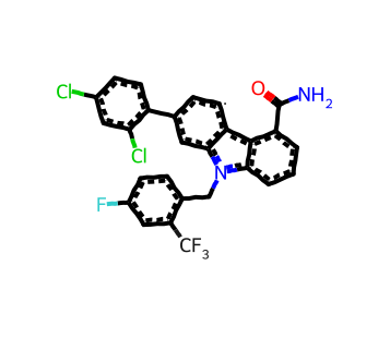 NC(=O)c1cccc2c1c1[c]cc(-c3ccc(Cl)cc3Cl)cc1n2Cc1ccc(F)cc1C(F)(F)F